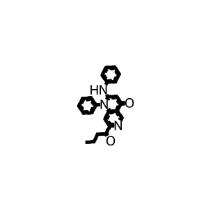 CCCC(=O)c1cc2c(cn1)c(=O)cc(Nc1ccccc1)n2-c1ccccc1